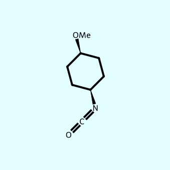 CO[C@H]1CC[C@@H](N=C=O)CC1